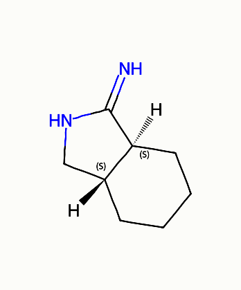 N=C1NC[C@H]2CCCC[C@H]12